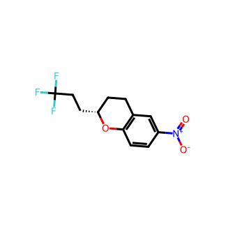 O=[N+]([O-])c1ccc2c(c1)CC[C@@H](CCC(F)(F)F)O2